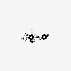 CC(=O)c1c(O)c(OCCOc2ccc(F)cc2)c2occc2c1C